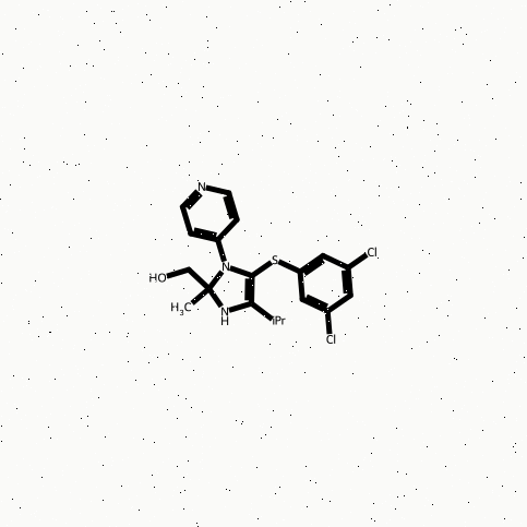 CC(C)C1=C(Sc2cc(Cl)cc(Cl)c2)N(c2ccncc2)C(C)(CO)N1